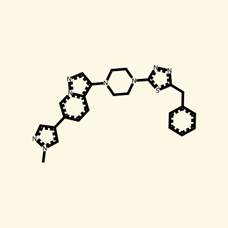 Cn1cc(-c2ccc3c(N4CCN(c5nnc(Cc6ccccc6)s5)CC4)cnn3c2)cn1